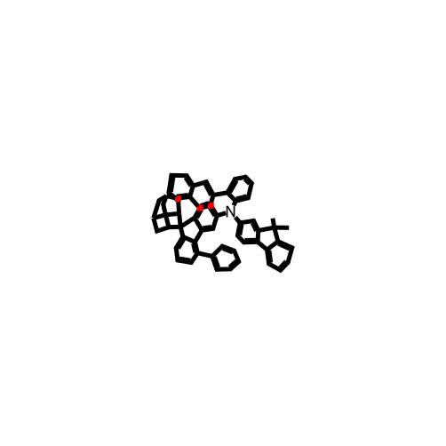 CC1(C)c2ccccc2-c2ccc(N(c3ccc4c(c3)-c3c(-c5ccccc5)cccc3C43C4CC5CC6CC3C64C5)c3ccccc3-c3ccc4ccccc4c3)cc21